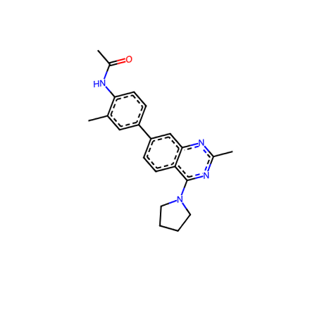 CC(=O)Nc1ccc(-c2ccc3c(N4CCCC4)nc(C)nc3c2)cc1C